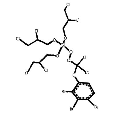 CCC(Cl)(OO[Si](OCC(Cl)CCl)(OCC(Cl)CCl)OCC(Cl)CCl)Oc1ccc(Br)c(Br)c1Br